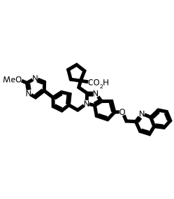 COc1ncc(-c2ccc(Cn3c(CC4(C(=O)O)CCCC4)nc4cc(OCc5ccc6ccccc6n5)ccc43)cc2)cn1